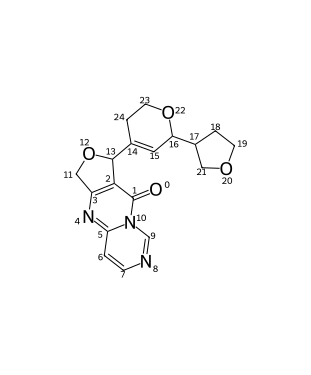 O=c1c2c(nc3ccncn13)COC2C1=CC(C2CCOC2)OCC1